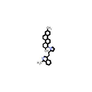 Cc1ccc2c(c1)=CCc1c3c(ccc1=2)=C(n1cccc1CCc1cnc(C)c2ccccc12)C(C)CC3